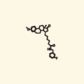 COc1ccc2c(c1)CCC1C2CC[C@]2(C)C(=O)C[C@@H](CCCCCC(=O)NCc3cccc(F)c3)C12